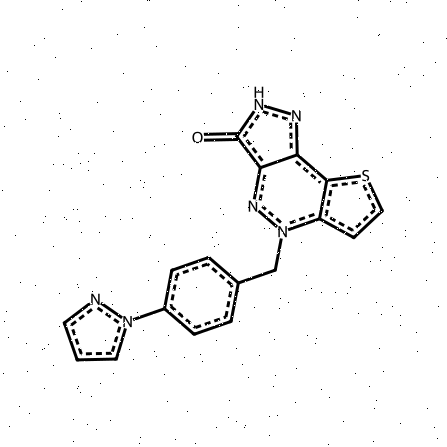 O=c1[nH]nc2c3sccc3n(Cc3ccc(-n4cccn4)cc3)nc1-2